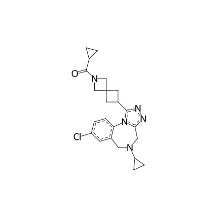 O=C(C1CC1)N1CC2(CC(c3nnc4n3-c3ccc(Cl)cc3CN(C3CC3)C4)C2)C1